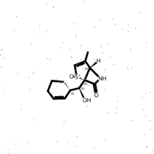 CC1=C[S+]([O-])[C@@]2([C@@H](O)[C@@H]3C=CCCC3)C(=O)N[C@@H]12